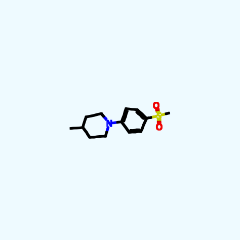 CC1CCN(c2ccc(S(C)(=O)=O)cc2)CC1